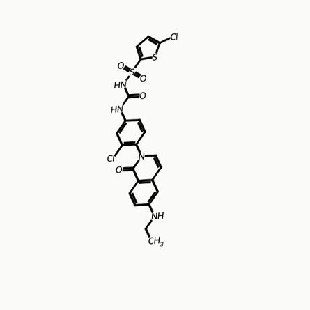 CCNc1ccc2c(=O)n(-c3ccc(NC(=O)NS(=O)(=O)c4ccc(Cl)s4)cc3Cl)ccc2c1